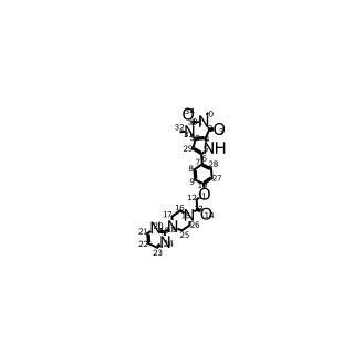 Cn1c(=O)c2[nH]c(-c3ccc(OCC(=O)N4CCN(c5ncccn5)CC4)cc3)cc2n(C)c1=O